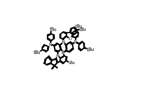 CC(C)(C)c1ccc(N(c2ccc(C(C)(C)C)cc2)c2ccc3c(c2)N(c2cccc4c2oc2cc(C(C)(C)C)ccc24)c2cc(N(c4ccc(C(C)(C)C)cc4)c4ccc(C(C)(C)C)cc4)cc4c2B3c2cc(C(C)(C)C)cc3c5c(n-4c23)-c2ccccc2C5(C)C)cc1